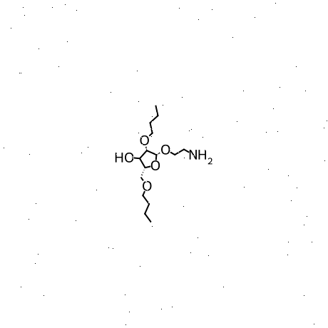 CCCCOC[C@H]1O[C@@H](OCCN)[C@@H](OCCCC)C1O